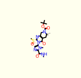 CNC(=O)c1ncc(-n2c([S+](C)[O-])nc3c(c2=O)C[C@@H](C)N(C(=O)OC(C)(C)C)C3)n1C